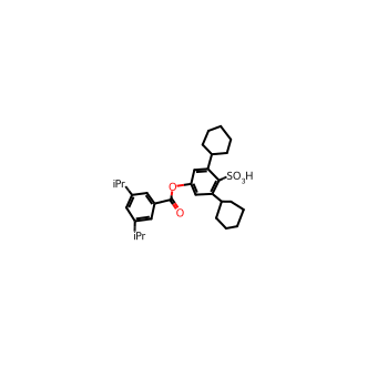 CC(C)c1cc(C(=O)Oc2cc(C3CCCCC3)c(S(=O)(=O)O)c(C3CCCCC3)c2)cc(C(C)C)c1